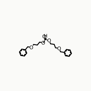 O=[PH](OCCCOCc1ccccc1)OCCCOCc1ccccc1